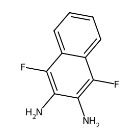 Nc1c(N)c(F)c2ccccc2c1F